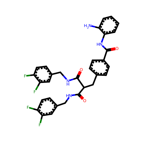 Nc1ccccc1NC(=O)c1ccc(CC(C(=O)NCc2ccc(F)c(F)c2)C(=O)NCc2ccc(F)c(F)c2)cc1